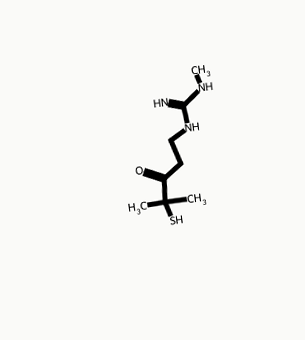 CNC(=N)NCCC(=O)C(C)(C)S